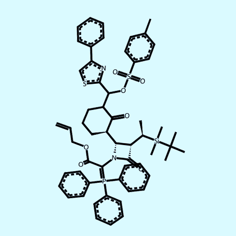 C=CCOC(=O)C(N1C(=O)[C@@H]([C@@H](C)[Si](C)(C)C(C)(C)C)[C@H]1[C@H]1CCCC(C(OS(=O)(=O)c2ccc(C)cc2)c2nc(-c3ccccc3)cs2)C1=O)=P(c1ccccc1)(c1ccccc1)c1ccccc1